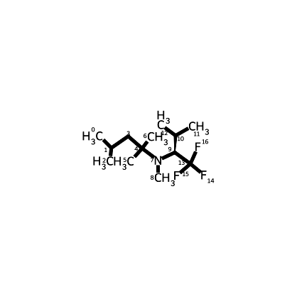 CC(C)CC(C)(C)N(C)[C@@H](C(C)C)C(F)(F)F